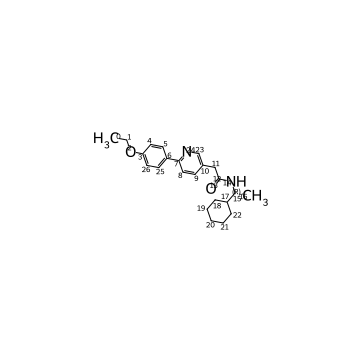 CCOc1ccc(-c2ccc(CC(=O)N[C@H](C)C3CCCCC3)cn2)cc1